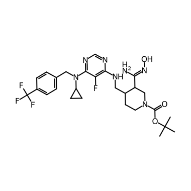 CC(C)(C)OC(=O)N1CCC(CNc2ncnc(N(Cc3ccc(C(F)(F)F)cc3)C3CC3)c2F)C(/C(N)=N/O)C1